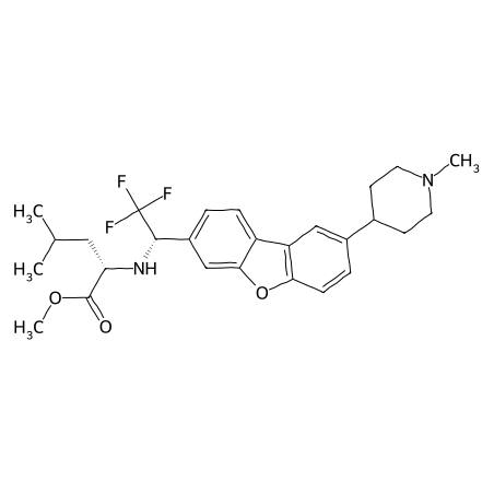 COC(=O)[C@H](CC(C)C)N[C@@H](c1ccc2c(c1)oc1ccc(C3CCN(C)CC3)cc12)C(F)(F)F